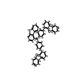 c1ccc2c(c1)sc1cccc(N(c3ccc(-c4cccc5c4oc4ccncc45)cc3)c3ccc(-c4cccc5c4oc4ccncc45)cc3)c12